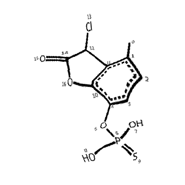 Cc1ccc(OP(O)(O)=S)c2c1C(Cl)C(=O)O2